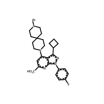 CC(C)N1CCC2(CCN(c3cc(C(=O)O)nc4c3c(C3CCC3)nn4-c3ccc(F)cc3)CC2)CC1